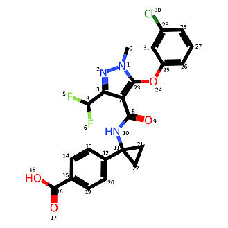 Cn1nc(C(F)F)c(C(=O)NC2(c3ccc(C(=O)O)cc3)CC2)c1Oc1cccc(Cl)c1